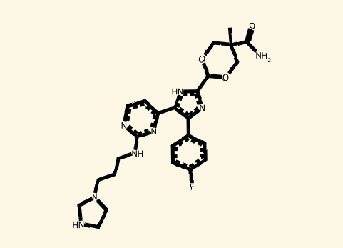 CC1(C(N)=O)COC(c2nc(-c3ccc(F)cc3)c(-c3ccnc(NCCCN4CCNC4)n3)[nH]2)OC1